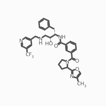 Cc1coc(C2CCCN2C(=O)c2cccc(C(=O)N[C@@H](Cc3ccccc3)[C@H](O)CNCc3cncc(C(F)(F)F)c3)c2)n1